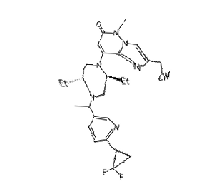 CC[C@H]1CN(C(C)c2ccc(C3CC3(F)F)nc2)[C@H](CC)CN1c1cc(=O)n(C)n2cc(CC#N)nc12